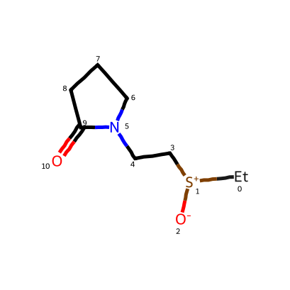 CC[S+]([O-])CCN1CCCC1=O